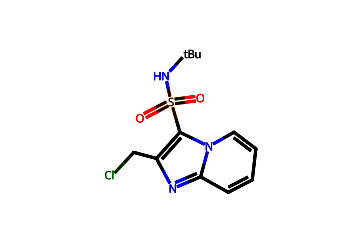 CC(C)(C)NS(=O)(=O)c1c(CCl)nc2ccccn12